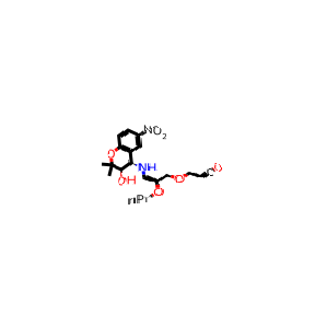 CCCO/C(=C/N[C@H]1c2cc([N+](=O)[O-])ccc2OC(C)(C)[C@@H]1O)COCC=C=O